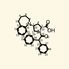 O=C(O)[C@@H]1C[C@H](N2CCCCc3ccccc32)CN1C(=O)C(c1ccccc1)c1ccccc1